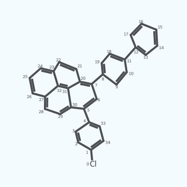 Clc1ccc(-c2cc(-c3ccc(-c4ccccc4)cc3)c3ccc4cccc5ccc2c3c54)cc1